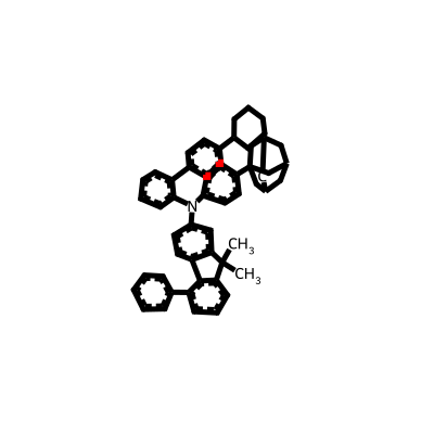 CC1(C)c2cc(N(c3ccc(C45CC6CC(CC(C6)C4)C5)cc3)c3ccccc3-c3ccc(C4CCCCC4)cc3)ccc2-c2c(-c3ccccc3)cccc21